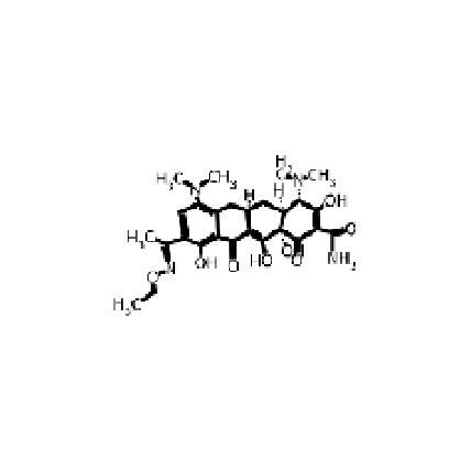 CCON=C(C)c1cc(N(C)C)c2c(c1O)C(=O)C1=C(O)[C@]3(O)C(=O)C(C(N)=O)=C(O)[C@@H](N(C)C)[C@@H]3C[C@@H]1C2